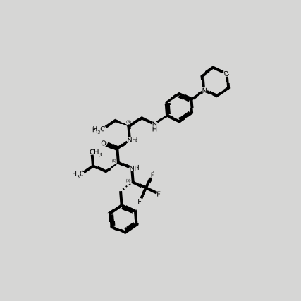 CC[C@@H](CNc1ccc(N2CCOCC2)cc1)NC(=O)[C@H](CC(C)C)N[C@@H](Cc1ccccc1)C(F)(F)F